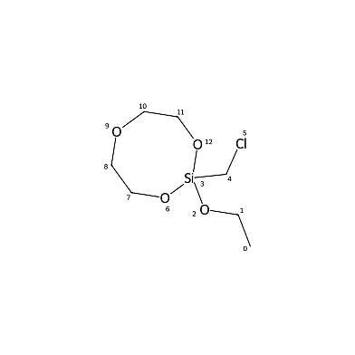 CCO[Si]1(CCl)OCCOCCO1